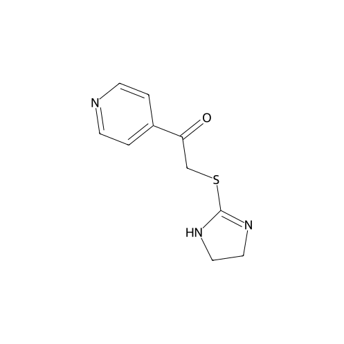 O=C(CSC1=NCCN1)c1ccncc1